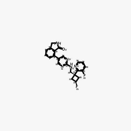 O=C1NCc2cccc(-c3cnc(NC[C@]4(c5ncccc5F)C[C@H](F)C4)nc3)c21